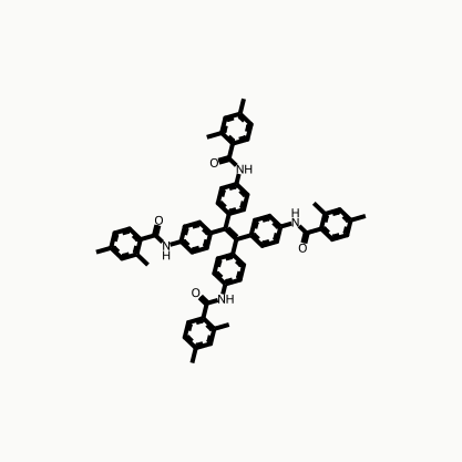 Cc1ccc(C(=O)Nc2ccc(C(=C(c3ccc(NC(=O)c4ccc(C)cc4C)cc3)c3ccc(NC(=O)c4ccc(C)cc4C)cc3)c3ccc(NC(=O)c4ccc(C)cc4C)cc3)cc2)c(C)c1